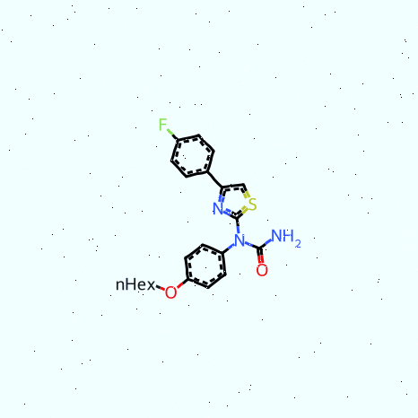 CCCCCCOc1ccc(N(C(N)=O)c2nc(-c3ccc(F)cc3)cs2)cc1